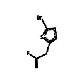 C=C(F)Cc1ccc(Br)s1